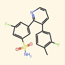 Cc1ccc(-c2cccnc2-c2cc(F)cc(S(N)(=O)=O)c2)cc1F